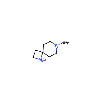 CC(C)N1CCC2(CCN2)CC1